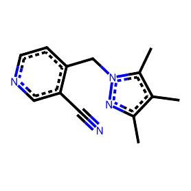 Cc1nn(Cc2ccncc2C#N)c(C)c1C